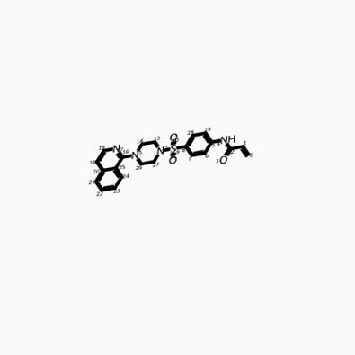 C=CC(=O)Nc1ccc(S(=O)(=O)N2CCN(c3nccc4ccccc34)CC2)cc1